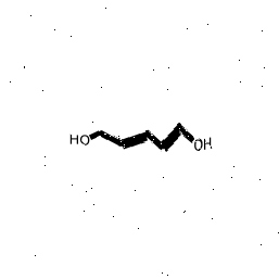 OC=CC=CCO